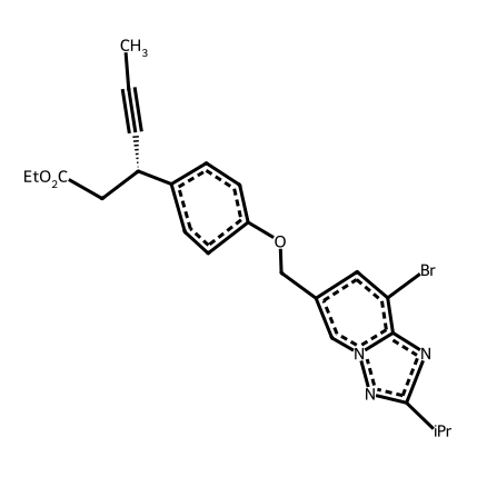 CC#C[C@@H](CC(=O)OCC)c1ccc(OCc2cc(Br)c3nc(C(C)C)nn3c2)cc1